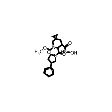 COC(=O)N1CC2(CC2)CC(C(=O)NO)C1C(=O)N1CCC(c2ccccc2)C1